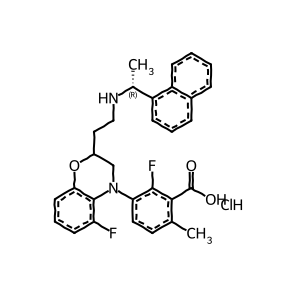 Cc1ccc(N2CC(CCN[C@H](C)c3cccc4ccccc34)Oc3cccc(F)c32)c(F)c1C(=O)O.Cl